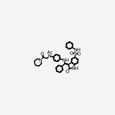 CC(=O)N(CC(=O)N1CCCCC1)c1ccc(NC(=C2C(=O)Nc3ccc(S(=O)(=O)Nc4ccccc4)cc32)c2ccccc2)cc1